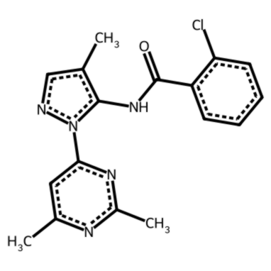 Cc1cc(-n2ncc(C)c2NC(=O)c2ccccc2Cl)nc(C)n1